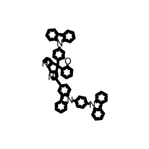 c1ccc2c(c1)Oc1cc(-n3c4ccccc4c4ccccc43)ccc1C21c2cccnc2-c2ncc(-c3ccc4c(c3)c3ccccc3n4-c3ccc(-n4c5ccccc5c5ccccc54)cc3)cc21